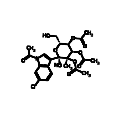 CC(=O)O[C@@H]1[C@@H](CO)O[C@](O)(c2cn(C(C)=O)c3cc(Cl)ccc23)[C@](C)(OC(C)=O)[C@H]1OC(C)=O